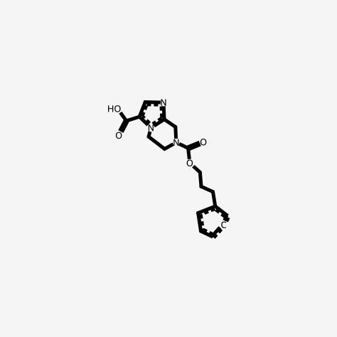 O=C(O)c1cnc2n1CCN(C(=O)OCCCc1ccccc1)C2